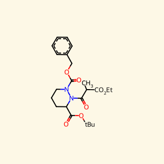 CCOC(=O)C(C)C(=O)N1C(C(=O)OC(C)(C)C)CCCN1C(=O)OCc1ccccc1